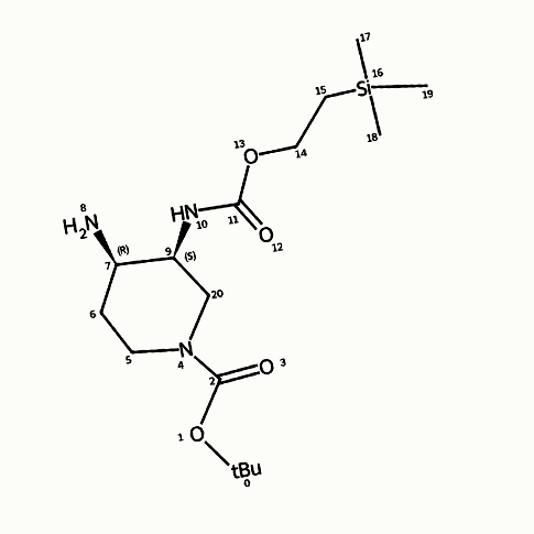 CC(C)(C)OC(=O)N1CC[C@@H](N)[C@@H](NC(=O)OCC[Si](C)(C)C)C1